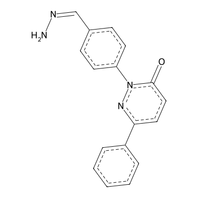 N/N=C\c1ccc(-n2nc(-c3ccccc3)ccc2=O)cc1